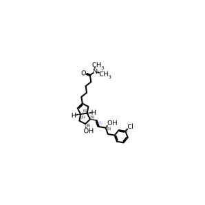 CN(C)C(=O)CCCCC1=C[C@H]2C[C@@H](O)[C@H](/C=C/[C@@H](O)Cc3cccc(Cl)c3)[C@H]2C1